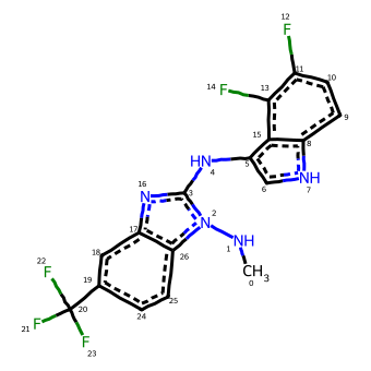 CNn1c(Nc2c[nH]c3ccc(F)c(F)c23)nc2cc(C(F)(F)F)ccc21